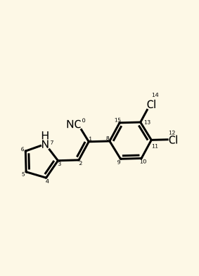 N#C/C(=C\c1ccc[nH]1)c1ccc(Cl)c(Cl)c1